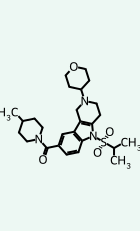 CC1CCN(C(=O)c2ccc3c(c2)c2c(n3S(=O)(=O)C(C)C)CCN(C3CCOCC3)C2)CC1